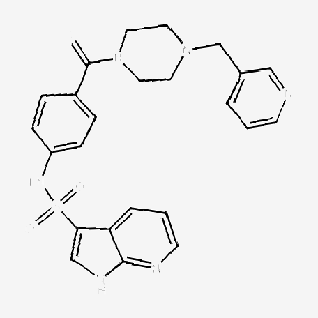 O=C(c1ccc(NS(=O)(=O)c2c[nH]c3ncccc23)cc1)N1CCN(Cc2cccnc2)CC1